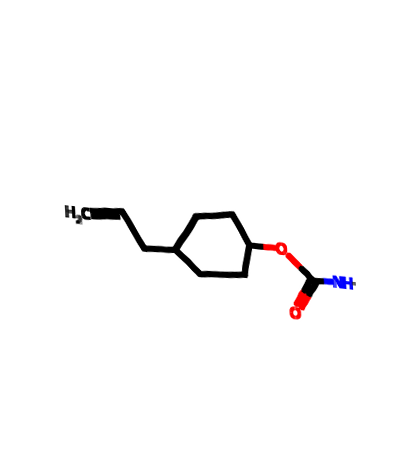 C=CCC1CCC(OC([NH])=O)CC1